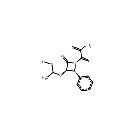 CCOC(C)O[C@H]1C(=O)N(C(=O)C(C)=S)[C@H]1c1ccccc1